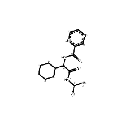 CC(=O)[C@@H](NC(=O)[C@H](NC(=O)c1cnccn1)C1CCCCC1)C(C)(C)C